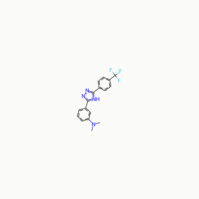 CN(C)c1cccc(-c2nnc(-c3ccc(C(F)(F)F)cc3)[nH]2)c1